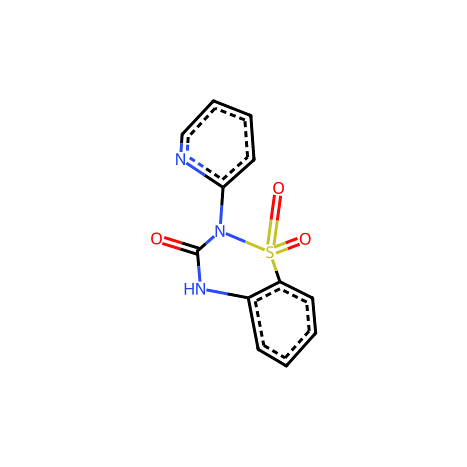 O=C1Nc2ccccc2S(=O)(=O)N1c1ccccn1